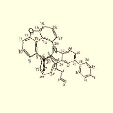 C=CCC/C=C\C(=C)c1cccc2oc3cccc(-n4c5ccccc5c5cc(-c6ccccc6)ccc54)c3c12